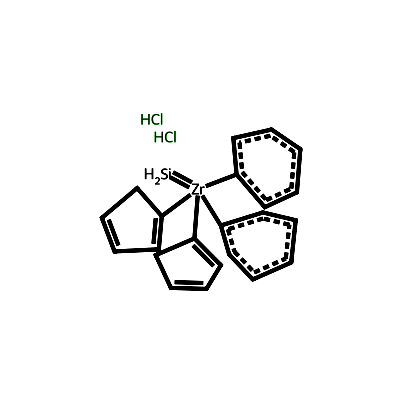 Cl.Cl.[SiH2]=[Zr]([C]1=CC=CC1)([C]1=CC=CC1)([c]1ccccc1)[c]1ccccc1